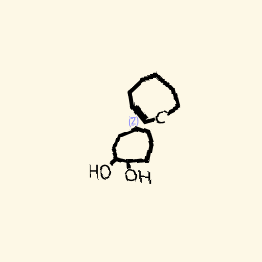 C1=C\CCCCCC/1.OC1CCCCCCC1O